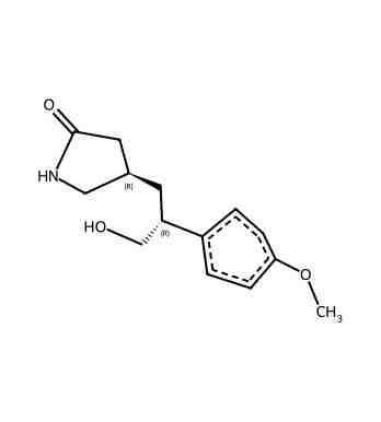 COc1ccc([C@H](CO)C[C@H]2CNC(=O)C2)cc1